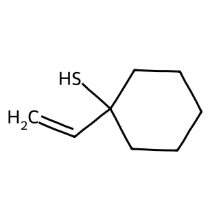 C=CC1(S)CCCCC1